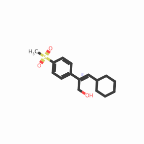 CS(=O)(=O)c1ccc(/C(=C/C2CCCCC2)CO)cc1